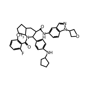 Cc1cccc(F)c1C(=O)N1C2CCCC2CC(C(=O)Nc2ccc3c(cnn3C3COC3)c2)C1c1ccc(NC2CCCC2)cc1